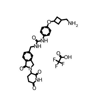 NCC1CC(Oc2ccc(NC(=O)NCc3ccc4c(c3)CN(C3CCC(=O)NC3=O)C4=O)cc2)C1.O=C(O)C(F)(F)F